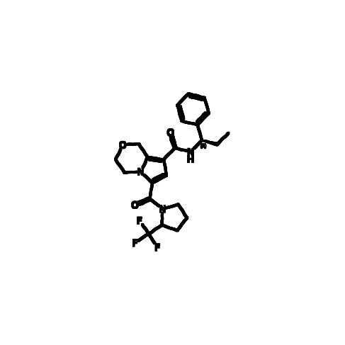 CC[C@@H](NC(=O)c1cc(C(=O)N2CCCC2C(F)(F)F)n2c1COCC2)c1ccccc1